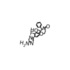 Nc1cnc(-c2ccc(C3(CO)OCCN(C=O)C3c3ccccc3)cc2F)cn1